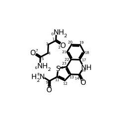 NC(=O)CCC(N)=O.NC(=O)c1cc2c(=O)[nH]c3ccccc3c2s1